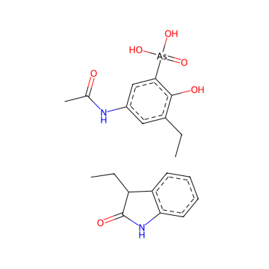 CCC1C(=O)Nc2ccccc21.CCc1cc(NC(C)=O)cc([As](=O)(O)O)c1O